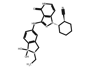 CCN1Cc2cc(Nc3nn([C@H]4CCCC[C@@H]4C#N)c4cc[nH]c(=O)c34)ccc2S1(O)O